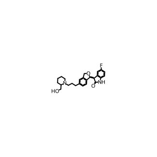 O=C1Nc2ccc(F)cc2C1=C1OCc2cc(CCCN3CCCCC3CO)ccc21